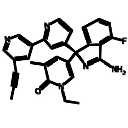 CC#Cc1cncc(-c2cc([C@]3(c4cc(C)c(=O)n(CC)c4)N=C(N)c4c(F)cccc43)ccn2)c1